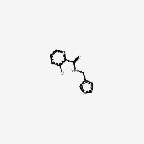 O=C(NCc1ccoc1)c1ncccc1Cl